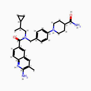 Cc1cc2cc(C(=O)N(Cc3ccc(N4CCC(C(N)=O)CC4)cc3)CC(C)C3CC3)ccc2nc1N